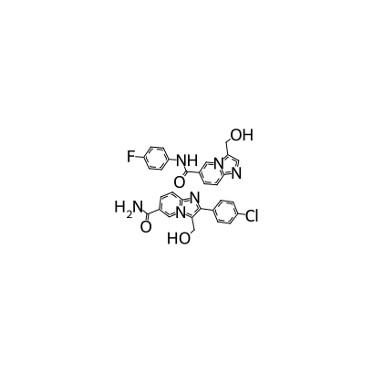 NC(=O)c1ccc2nc(-c3ccc(Cl)cc3)c(CO)n2c1.O=C(Nc1ccc(F)cc1)c1ccc2ncc(CO)n2c1